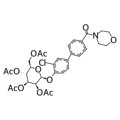 CC(=O)OC[C@H]1O[C@@H](Oc2ccc(-c3ccc(C(=O)N4CCOCC4)cc3)cc2Cl)[C@@H](OC(C)=O)[C@@H](OC(C)=O)[C@@H]1OC(C)=O